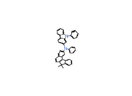 CC1(C)c2ccccc2-c2c1ccc1ccc(N(c3ccccc3)c3ccc4c5ccccc5n(-c5ccccc5)c4c3)cc21